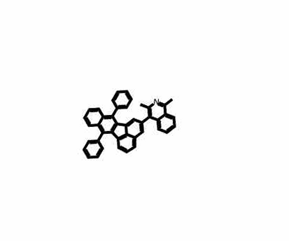 Cc1nc(C)c2ccccc2c1-c1cc2c3c(cccc3c1)-c1c-2c(-c2ccccc2)c2ccccc2c1-c1ccccc1